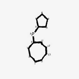 C1CCCC([P]C2CCCC2)CCC1